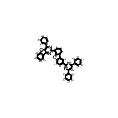 C1=CC(c2nc(-c3cccc4c3oc3ccc(-c5nc(-c6ccccc6)cc(-c6ccccc6)n5)cc34)nc3c2oc2ccccc23)=CCC1